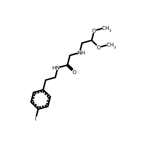 COC(CNCC(=O)NCCc1ccc(I)cc1)OC